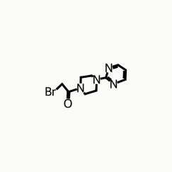 O=C(CBr)N1CCN(c2ncccn2)CC1